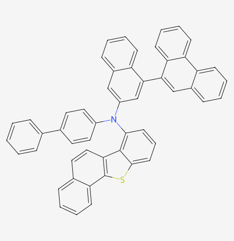 c1ccc(-c2ccc(N(c3cc(-c4cc5ccccc5c5ccccc45)c4ccccc4c3)c3cccc4sc5c6ccccc6ccc5c34)cc2)cc1